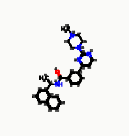 C[C@@H](NC(=O)c1cccc(-c2ccnc(N3CCN(C)CC3)n2)c1)c1cccc2ccccc12